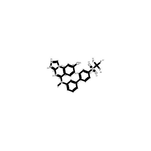 CN(c1cccc(-c2ccc(S(=O)(=O)C(F)(F)F)cc2)c1)c1nc2nncn2c2cc(Cl)ccc12